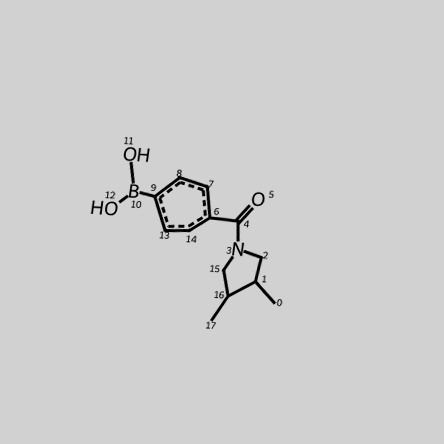 CC1CN(C(=O)c2ccc(B(O)O)cc2)CC1C